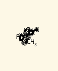 CC(=O)Oc1c(I)cc(F)cc1N1CCOc2cc(C3CC3)cc(F)c2C1=O